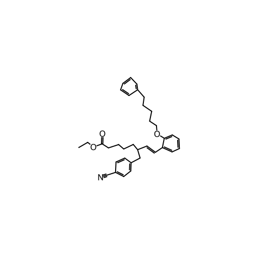 CCOC(=O)CCCCC(C=Cc1ccccc1OCCCCCc1ccccc1)Cc1ccc(C#N)cc1